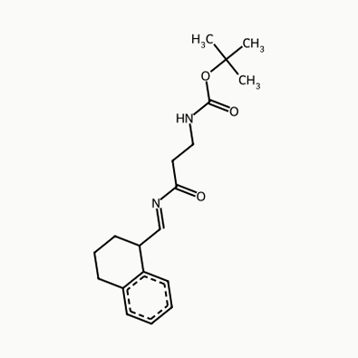 CC(C)(C)OC(=O)NCCC(=O)/N=C/C1CCCc2ccccc21